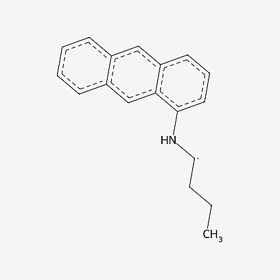 CCC[CH]Nc1cccc2cc3ccccc3cc12